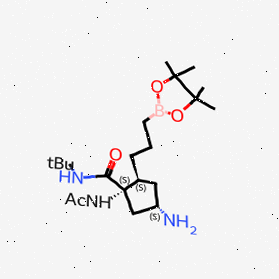 CC(=O)N[C@@]1(C(=O)NC(C)(C)C)C[C@@H](N)C[C@@H]1CCCB1OC(C)(C)C(C)(C)O1